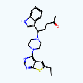 CCc1cc2c(N3CCN(C(CCC(C)=O)c4c[nH]c5ccccc45)CC3)ncnc2s1